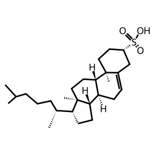 CC(C)CCC[C@@H](C)[C@H]1CC[C@H]2[C@@H]3CC=C4C[C@@H](S(=O)(=O)O)CC[C@]4(C)[C@H]3CC[C@]12C